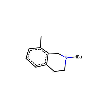 CCC(C)N1CCc2cccc(C)c2C1